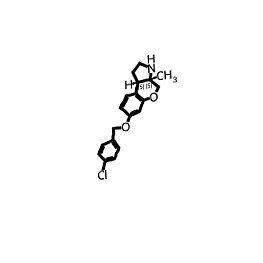 C[C@@]12COc3cc(OCc4ccc(Cl)cc4)ccc3[C@@H]1CCN2